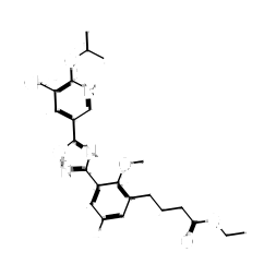 CCOC(=O)CCCc1cc(F)cc(-c2noc(-c3cnc(OC(C)C)c(Cl)c3)n2)c1OC